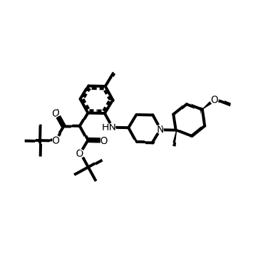 CO[C@H]1CC[C@](C)(N2CCC(Nc3cc(C)ccc3C(C(=O)OC(C)(C)C)C(=O)OC(C)(C)C)CC2)CC1